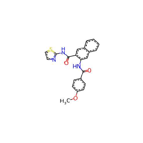 COc1ccc(C(=O)Nc2cc3ccccc3cc2C(=O)Nc2nccs2)cc1